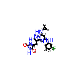 O=C1NC(=O)/C(=C/c2cnn3c(NC4CC4)cc(Nc4cccc(F)c4)nc23)N1